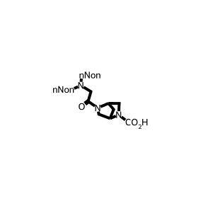 CCCCCCCCCN(CCCCCCCCC)CC(=O)N1CC2CC1CN2C(=O)O